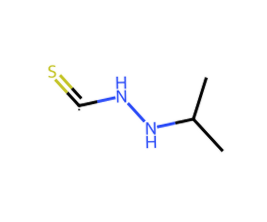 CC(C)NN[C]=S